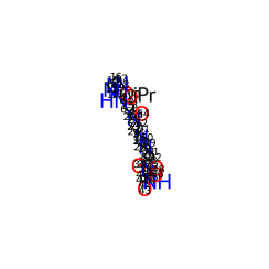 CC(C)Oc1cc2c(cc1NC(=O)c1cnn3cccnc13)CN([C@H]1CC[C@H](N3CCN(c4ccc5c(c4)C(=O)N(C4CCC(=O)NC4=O)C5=O)CC3)CC1)C2=O